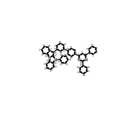 c1ccc(-c2cc(-c3ccc(-c4cccc(-c5c6ccccc6n6c7ccccc7n(-c7ccccc7)c56)c4)cc3)nc(-c3ccccc3)n2)cc1